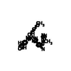 COCCOCCCOc1nn([C@H]2CC[C@H](N3[C@@H]4CC[C@H]3COC4)CC2)cc1Nc1ncc(-c2ccc(C#N)c(O[C@@H](C)Cn3cnnn3)c2)cn1